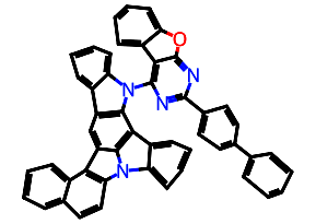 c1ccc(-c2ccc(-c3nc(-n4c5ccccc5c5cc6c7c8ccccc8ccc7n7c8ccccc8c(c54)c67)c4c(n3)oc3ccccc34)cc2)cc1